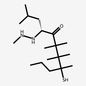 CCCC(C)(S)C(C)(C)C(C)(C)C(=O)[C@@H](CC(C)C)NNC